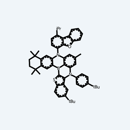 Cc1cc2c3c(c1)N(c1ccc(C(C)C)c4c1oc1ccccc14)c1cc4c(cc1B3c1sc3ccc(C(C)(C)C)cc3c1N2c1ccc(C(C)(C)C)cc1)C(C)(C)CCC4(C)C